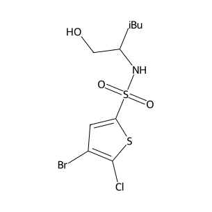 CCC(C)C(CO)NS(=O)(=O)c1cc(Br)c(Cl)s1